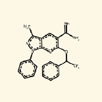 Cc1nn(-c2ccccc2)c2nc(OC(c3ccccc3)C(F)(F)F)c(C(=N)N)cc12